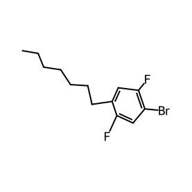 CCCCCCCc1cc(F)c(Br)cc1F